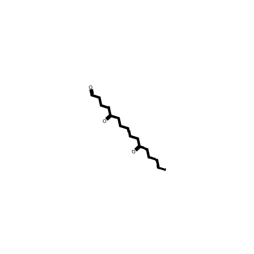 CCCCCC(=O)CCCCCC(=O)CCCC=O